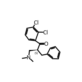 CN(C)C[C@H](Cc1ccccc1)C(=O)c1cccc(Cl)c1Cl